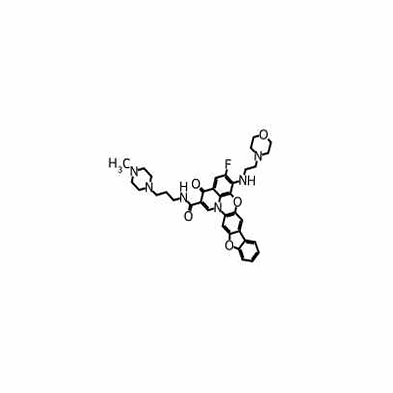 CN1CCN(CCCNC(=O)c2cn3c4c(c(NCCN5CCOCC5)c(F)cc4c2=O)Oc2cc4c(cc2-3)oc2ccccc24)CC1